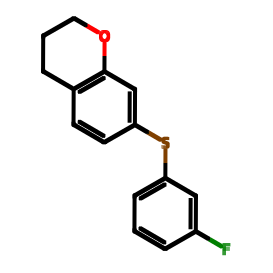 Fc1cccc(Sc2ccc3c(c2)OCCC3)c1